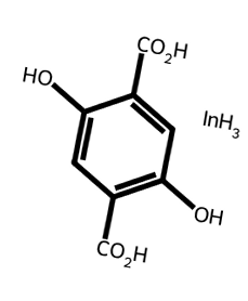 O=C(O)c1cc(O)c(C(=O)O)cc1O.[InH3]